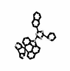 c1ccc(-c2nc(-c3ccc4ccccc4c3)nc(-n3c4cccc5c4c4c6c(cccc6ccc43)C53c4ccccc4-c4ccccc43)n2)cc1